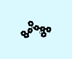 c1ccc(-c2ccc(-c3ccc(N(c4ccccc4)c4ccc(-c5cccc6ccccc56)cc4)cc3)c3oc4ccccc4c23)cc1